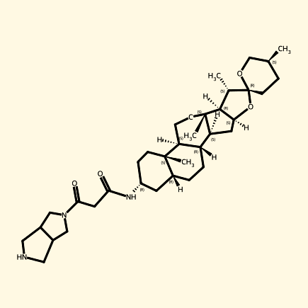 C[C@H]1CC[C@@]2(OC1)O[C@H]1C[C@H]3[C@@H]4CC[C@@H]5C[C@H](NC(=O)CC(=O)N6CC7CNCC7C6)CC[C@]5(C)[C@H]4CC[C@]3(C)[C@H]1[C@@H]2C